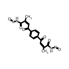 CC(=CC(=O)c1ccc(C(=O)C=C(C)C(=O)NN=O)cc1)C(=O)NN=O